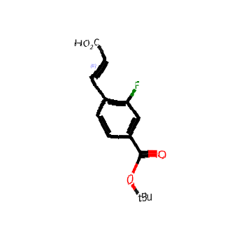 CC(C)(C)OC(=O)c1ccc(/C=C/C(=O)O)c(F)c1